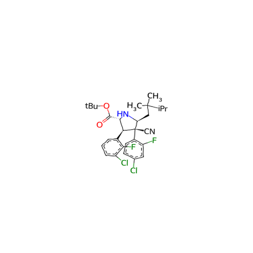 CC(C)C(C)(C)C[C@@H]1N[C@@H](C(=O)OC(C)(C)C)[C@H](c2cccc(Cl)c2F)[C@@]1(C#N)c1ccc(Cl)cc1F